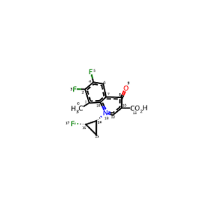 Cc1c(F)c(F)cc2c(=O)c(C(=O)O)cn([C@@H]3C[C@@H]3F)c12